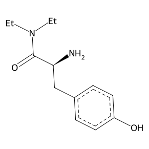 CCN(CC)C(=O)[C@@H](N)Cc1ccc(O)cc1